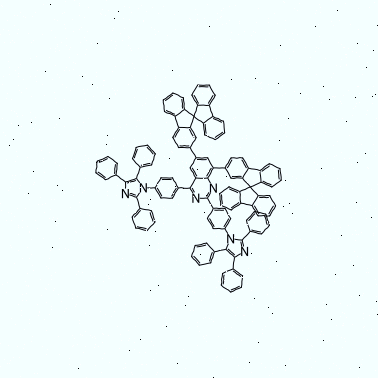 c1ccc(-c2nc(-c3ccccc3)n(-c3ccc(-c4nc(-c5ccc(-n6c(-c7ccccc7)nc(-c7ccccc7)c6-c6ccccc6)cc5)c5cc(-c6ccc7c(c6)C6(c8ccccc8-c8ccccc86)c6ccccc6-7)cc(-c6ccc7c(c6)C6(c8ccccc8-c8ccccc86)c6ccccc6-7)c5n4)cc3)c2-c2ccccc2)cc1